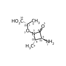 C[C@H](ON1C(=O)[C@@H](N)[C@@H]1C)C(=O)O